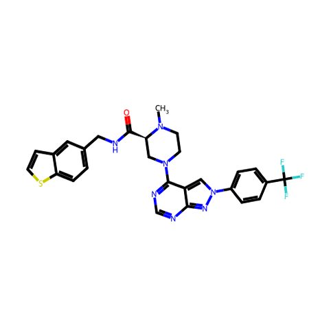 CN1CCN(c2ncnc3nn(-c4ccc(C(F)(F)F)cc4)cc23)C[C@H]1C(=O)NCc1ccc2sccc2c1